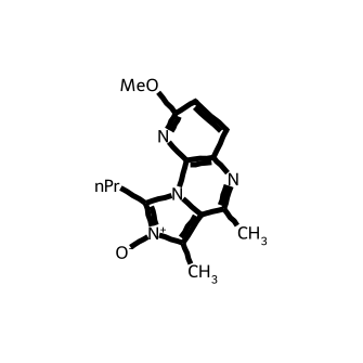 CCCc1n2c(c(C)nc3ccc(OC)nc32)c(C)[n+]1[O-]